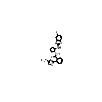 Cc1noc(-c2ccccc2C(=O)N[C@@H]2CCC[C@H]2Nc2nc3ccc(F)cc3o2)n1